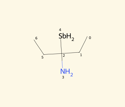 CC[C](N)([SbH2])CC